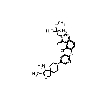 COC(C)(C)Cn1cnc2ccc(Sc3cnc(N4CCC5(CC4)CO[C@@H](C)[C@H]5N)cn3)c(Cl)c2c1=O